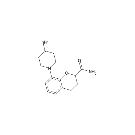 CCCN1CCN(c2cccc3c2OC(C(N)=O)CC3)CC1